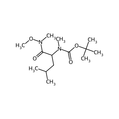 CON(C)C(=O)C(CC(C)C)N(C)C(=O)OC(C)(C)C